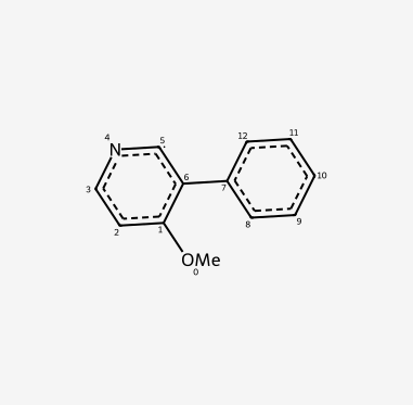 COc1ccn[c]c1-c1ccccc1